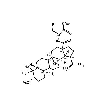 C=C(C)[C@@H]1CC[C@]2(C(=O)N[C@@H](CC(C)C)C(=O)OC)CC[C@]3(C)[C@H](CCC4[C@@]5(C)CC[C@H](OC(C)=O)C(C)(C)[C@@H]5CC[C@]43C)[C@@H]12